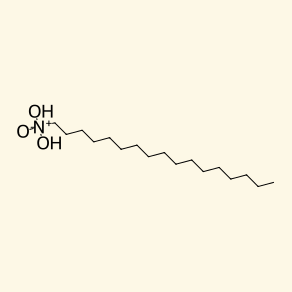 CCCCCCCCCCCCCCCCC[N+]([O-])(O)O